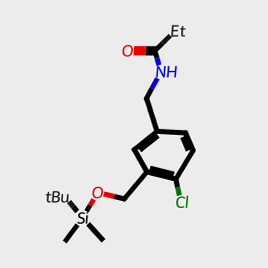 CCC(=O)NCc1ccc(Cl)c(CO[Si](C)(C)C(C)(C)C)c1